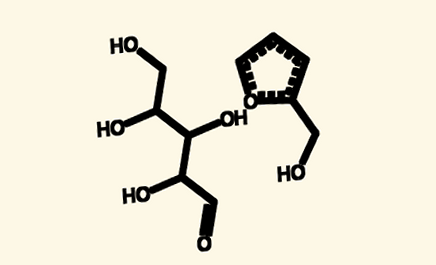 O=CC(O)C(O)C(O)CO.OCc1ccco1